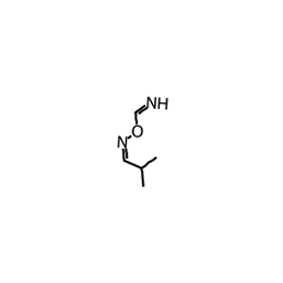 CC(C)/C=N\OC=N